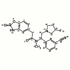 CN(C(=O)Cc1ccc2oc(=O)[nH]c2c1)C(CN1CCC(F)C1)c1cccc(C#N)c1